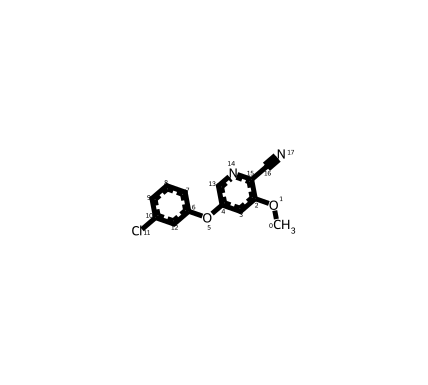 COc1cc(Oc2cccc(Cl)c2)cnc1C#N